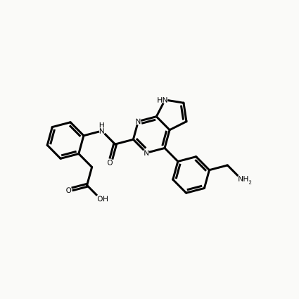 NCc1cccc(-c2nc(C(=O)Nc3ccccc3CC(=O)O)nc3[nH]ccc23)c1